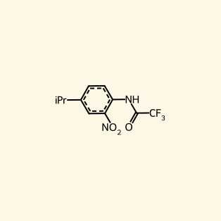 CC(C)c1ccc(NC(=O)C(F)(F)F)c([N+](=O)[O-])c1